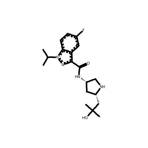 CC(C)n1nc(C(=O)N[C@@H]2CN[C@H](CC(C)(C)O)C2)c2cc(F)ccc21